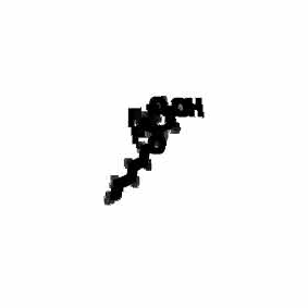 CCCCCCO[C@@H](CC(=O)O)C(F)(F)F